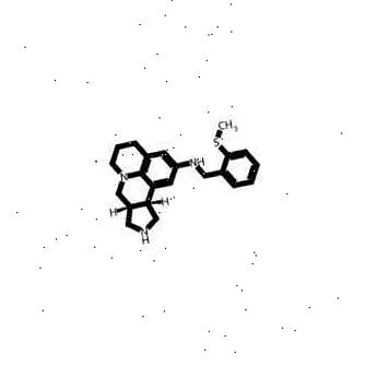 CSc1ccccc1CNc1cc2c3c(c1)[C@@H]1CNC[C@@H]1CN3CCC2